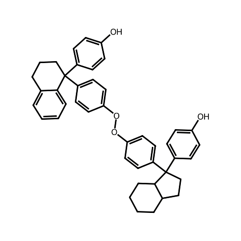 Oc1ccc(C2(c3ccc(OOc4ccc(C5(c6ccc(O)cc6)CCC6CCCCC65)cc4)cc3)CCCc3ccccc32)cc1